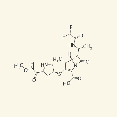 CONC(=O)[C@@H]1C[C@H](SC2=C(C(=O)O)N3C(=O)[C@H](C(C)NC(=O)C(F)F)[C@H]3[C@H]2C)CN1